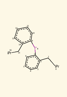 CC(C)Cc1ccccc1[I+]c1ccccc1CC(C)C